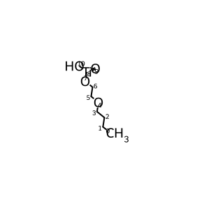 CCCCOCC[O][Ti](=[O])[OH]